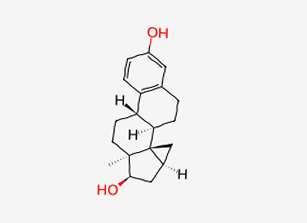 C[C@]12CC[C@@H]3c4ccc(O)cc4CC[C@H]3[C@@]13C[C@H]3C[C@H]2O